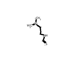 CN(C)CCNC=S